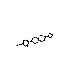 CC(=O)c1ccc(N2CCC3(CC2)CCN(C2CCC2)CC3)nc1